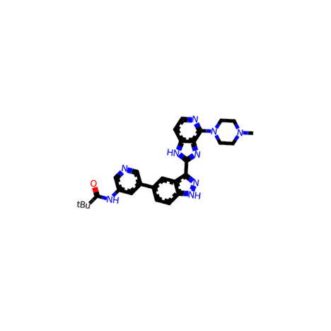 CN1CCN(c2nccc3[nH]c(-c4n[nH]c5ccc(-c6cncc(NC(=O)C(C)(C)C)c6)cc45)nc23)CC1